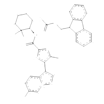 O=Cc1sc(C(=O)N[C@@H]2[C@@H](NC(=O)OCC3c4ccccc4-c4ccccc43)CCCC2(F)F)nc1-c1cnn2cc(F)ccc12